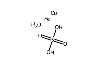 O.O=S(=O)(O)O.[Cu].[Fe]